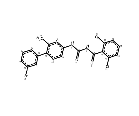 Cc1nc(NC(=O)NC(=O)c2c(Cl)cccc2Cl)cnc1-c1cccc(Br)c1